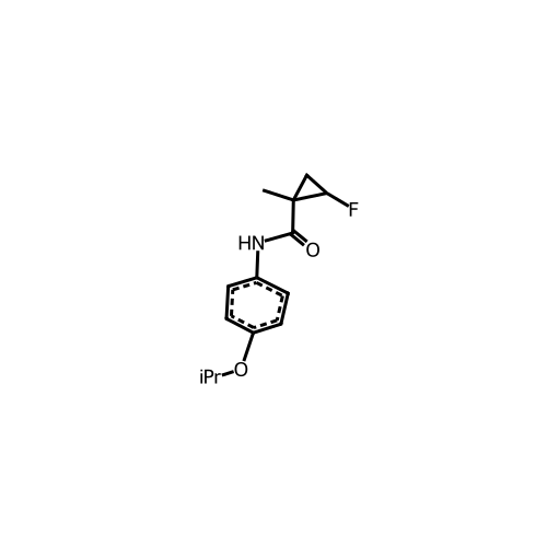 CC(C)Oc1ccc(NC(=O)C2(C)CC2F)cc1